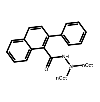 CCCCCCC[CH2][Al]([CH2]CCCCCCC)[NH]C(=O)c1c(-c2ccccc2)ccc2ccccc12